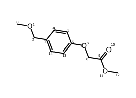 COCc1ccc(OCC(=O)OC)cc1